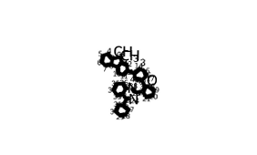 CC1(C)c2ccccc2-c2ccc(-c3ccc4oc5cccc(-c6nc(-c7ccccc7)c7ccccc7n6)c5c4c3)cc21